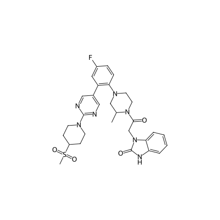 CC1CN(c2ccc(F)cc2-c2cnc(N3CCC(S(C)(=O)=O)CC3)nc2)CCN1C(=O)Cn1c(=O)[nH]c2ccccc21